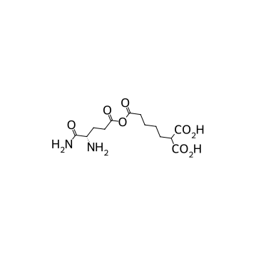 NC(=O)[C@@H](N)CCC(=O)OC(=O)CCCCC(C(=O)O)C(=O)O